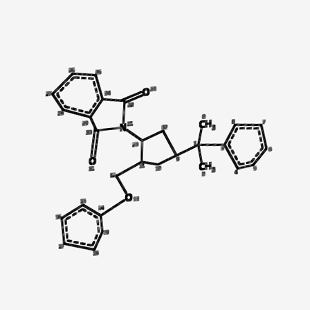 CC(C)(c1ccccc1)C1CC(COc2ccccc2)C(N2C(=O)c3ccccc3C2=O)C1